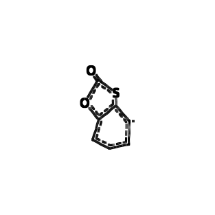 O=c1oc2ccc[c]c2s1